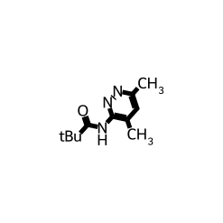 Cc1cc(C)c(NC(=O)C(C)(C)C)nn1